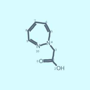 O=C(O)CN1C=CC=CC=N1